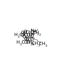 CCCCCCC(OCC)(OCC)C(OCC)(OCC)C(OCC)(OCC)C(OCC)(OCC)OS(=O)(=O)[O-].[Na+]